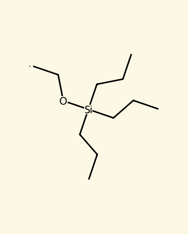 [CH2]CO[Si](CCC)(CCC)CCC